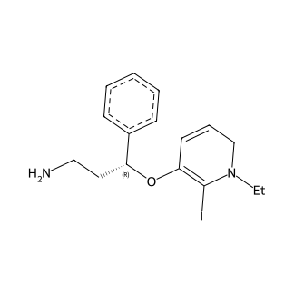 CCN1CC=CC(O[C@H](CCN)c2ccccc2)=C1I